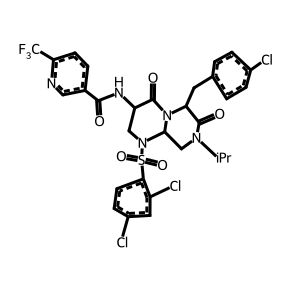 CC(C)N1CC2N(C(=O)C(NC(=O)c3ccc(C(F)(F)F)nc3)CN2S(=O)(=O)c2ccc(Cl)cc2Cl)C(Cc2ccc(Cl)cc2)C1=O